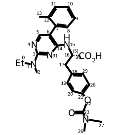 CCN(C)c1ncc(-c2ccccc2C)c(N[C@@H](Cc2ccc(OC(=O)N(C)C)cc2)C(=O)O)n1